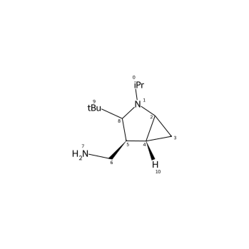 CC(C)N1C2C[C@@H]2[C@@H](CN)C1C(C)(C)C